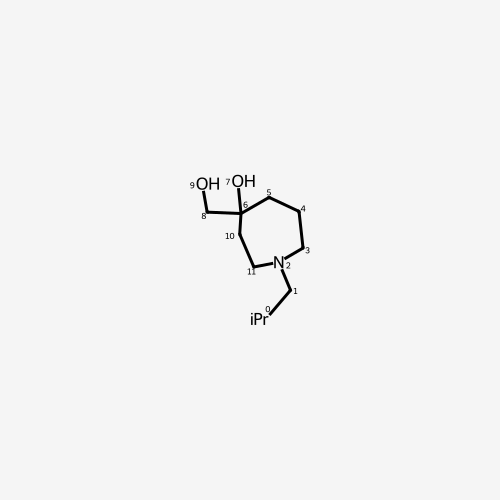 CC(C)CN1CCCC(O)(CO)CC1